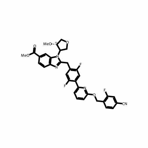 COC(=O)c1ccc2nc(Cc3cc(F)c(-c4cccc(OCc5ccc(C#N)cc5F)n4)cc3F)n(C3COC[C@H]3OC)c2c1